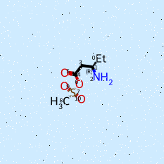 CC[C@@H](N)CC(=O)OS(C)(=O)=O